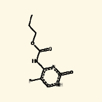 CCCOC(=O)Nc1nc(=O)[nH]cc1F